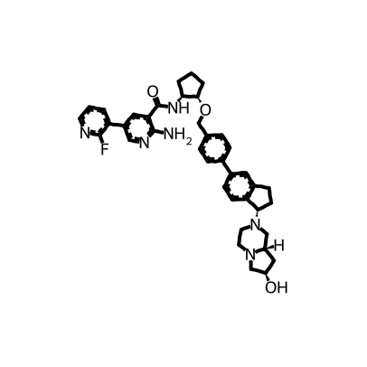 Nc1ncc(-c2cccnc2F)cc1C(=O)N[C@H]1CCC[C@@H]1OCc1ccc(-c2ccc3c(c2)CC[C@@H]3N2CCN3C[C@H](O)C[C@H]3C2)cc1